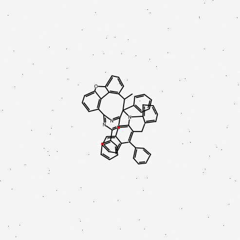 CC1c2cccc3oc4cccc(c4c23)-c2nc(-c3ccccc3)nc(n2)C1(c1ccccc1)N1c2ccccc2Cc2c1cc1ccccc1c2-c1ccccc1